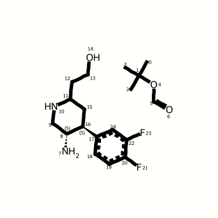 CC(C)(C)OC=O.N[C@@H]1CNC(CCO)C[C@H]1c1ccc(F)c(F)c1